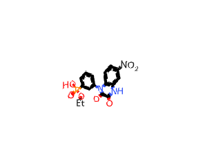 CCOP(=O)(O)c1cccc(-n2c(=O)c(=O)[nH]c3cc([N+](=O)[O-])ccc32)c1